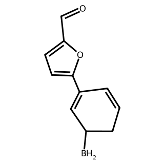 BC1C=C(c2ccc(C=O)o2)C=CC1